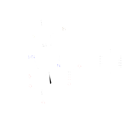 COC(=O)C[C@H]1C(=O)Nc2sc(C)c(Br)c2CN1C(=O)OCc1ccccc1